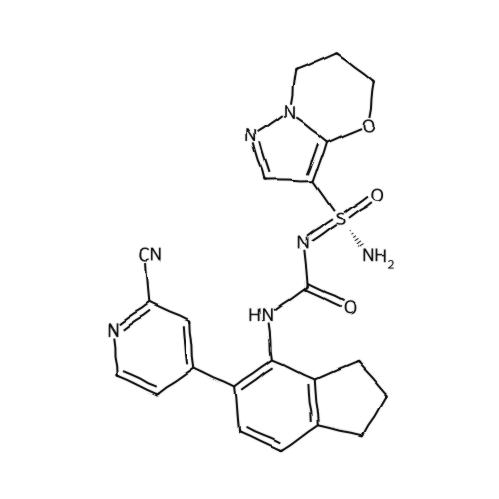 N#Cc1cc(-c2ccc3c(c2NC(=O)N=[S@](N)(=O)c2cnn4c2OCCC4)CCC3)ccn1